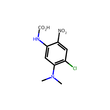 CN(C)c1cc(NC(=O)O)c([N+](=O)[O-])cc1Cl